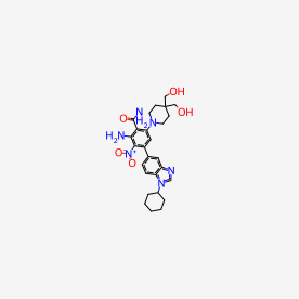 NC(=O)c1c(N2CCC(CO)(CO)CC2)cc(-c2ccc3c(c2)ncn3C2CCCCC2)c([N+](=O)[O-])c1N